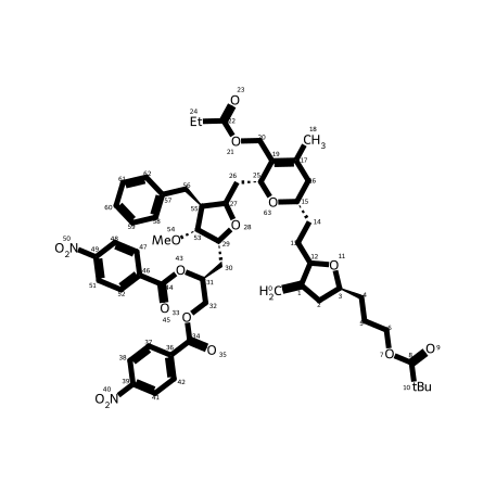 C=C1C[C@H](CCCOC(=O)C(C)(C)C)OC1CC[C@H]1CC(C)=C(COC(=O)CC)[C@@H](CC2O[C@H](C[C@@H](COC(=O)c3ccc([N+](=O)[O-])cc3)OC(=O)c3ccc([N+](=O)[O-])cc3)[C@H](OC)[C@H]2Cc2ccccc2)O1